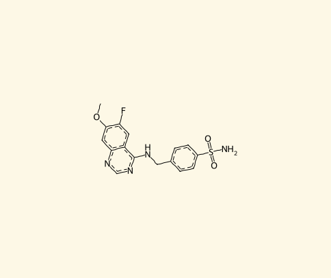 COc1cc2ncnc(NCc3ccc(S(N)(=O)=O)cc3)c2cc1F